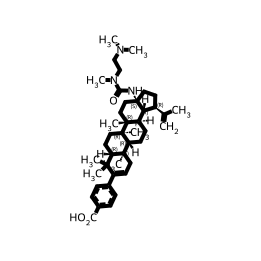 C=C(C)[C@@H]1CC[C@]2(NC(=O)N(C)CCN(C)C)CC[C@]3(C)[C@H](CC[C@@H]4[C@@]5(C)CC=C(c6ccc(C(=O)O)cc6)C(C)(C)[C@@H]5CC[C@]43C)[C@@H]12